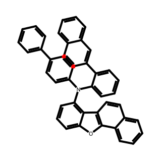 c1ccc(-c2ccc(N(c3ccccc3-c3ccc4ccccc4c3)c3cccc4oc5c6ccccc6ccc5c34)cc2)cc1